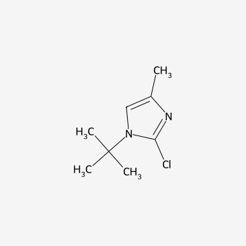 Cc1cn(C(C)(C)C)c(Cl)n1